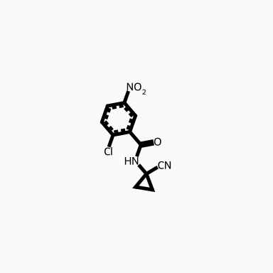 N#CC1(NC(=O)c2cc([N+](=O)[O-])ccc2Cl)CC1